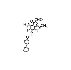 C[C@H]1COc2c(NCCOc3ccc(-c4ccccc4)cc3)c(F)c(N)c3c(=O)c(C=O)cn1c23